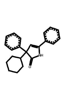 O=C1NC(c2ccccc2)=CC1(c1ccccc1)C1CCCCC1